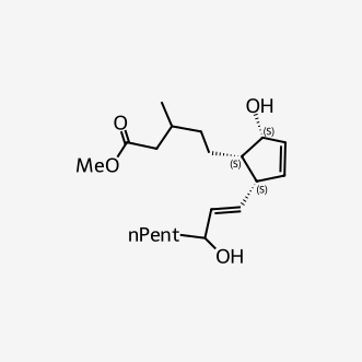 CCCCCC(O)C=C[C@H]1C=C[C@@H](O)[C@H]1CCC(C)CC(=O)OC